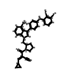 N#CC(=CC1CC1)C(=O)N1CCCC1Cn1nc(-c2ccc(Oc3cccc(F)c3F)cc2)c2c(N)ncnc21